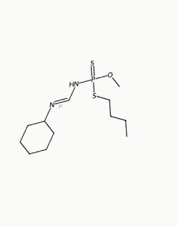 CCCCSP(=S)(N/C=N/C1CCCCC1)OC